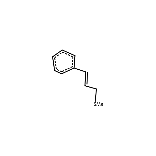 CSCC=Cc1ccccc1